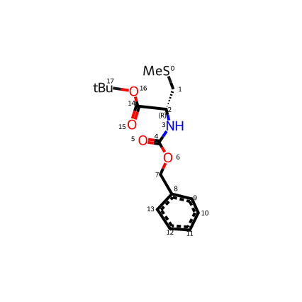 CSC[C@H](NC(=O)OCc1ccccc1)C(=O)OC(C)(C)C